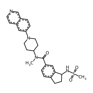 CN(C(=O)c1ccc2c(c1)C(NS(C)(=O)=O)CC2)C1CCN(c2ccc3cnccc3c2)CC1